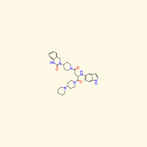 O=C(CC(Nc1ccc2[nH]ccc2c1)C(=O)N1CCC(N2CCCCC2)CC1)N1CCC(N2Cc3ccccc3NC2=O)CC1